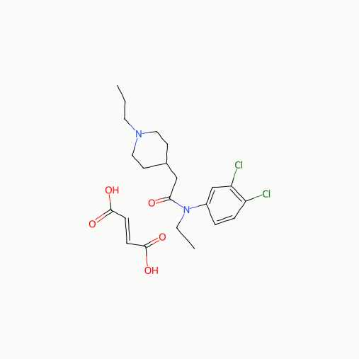 CCCN1CCC(CC(=O)N(CC)c2ccc(Cl)c(Cl)c2)CC1.O=C(O)/C=C/C(=O)O